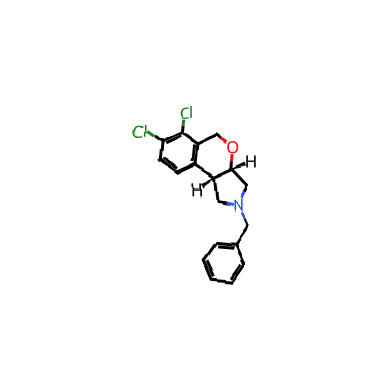 Clc1ccc2c(c1Cl)CO[C@@H]1CN(Cc3ccccc3)C[C@H]21